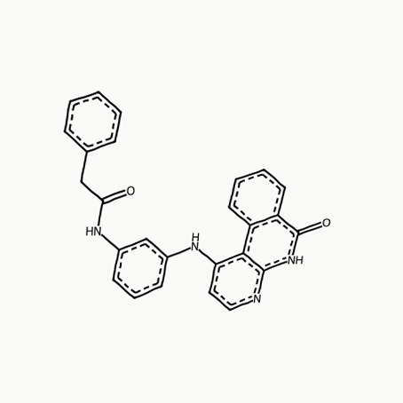 O=C(Cc1ccccc1)Nc1cccc(Nc2ccnc3[nH]c(=O)c4ccccc4c23)c1